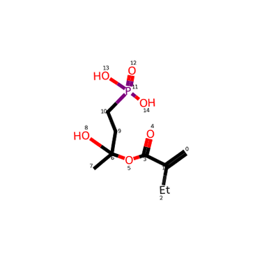 C=C(CC)C(=O)OC(C)(O)CCP(=O)(O)O